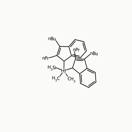 CCCCC1=C(CCC)[CH]([Hf]([CH3])([CH3])([SiH3])[CH]2C(CCC)=C(CCCC)c3ccccc32)c2ccccc21